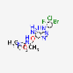 CC(COc1cc2ncnc(Nc3ccc(Br)c(Cl)c3F)c2cc1N)NC(=O)CN(C)C